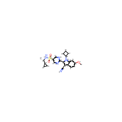 COc1ccc2c(C#N)c(-c3ncc(S(=O)(=O)N[C@@H](C)C4CC4)cn3)n(C3CCC3)c2c1